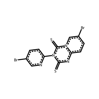 S=c1nc2ccc(Br)cn2c(=S)n1-c1ccc(Br)cn1